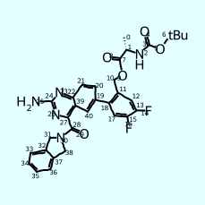 C[C@H](NC(=O)OC(C)(C)C)C(=O)OCc1cc(F)c(F)cc1-c1ccc2nc(N)nc(C(=O)N3Cc4ccccc4C3)c2c1